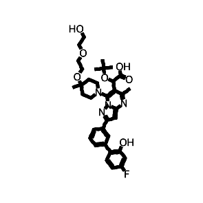 Cc1nc2cc(-c3cccc(-c4ccc(F)cc4O)c3)nn2c(N2CCC(C)(OCCOCCO)CC2)c1C(OC(C)(C)C)C(=O)O